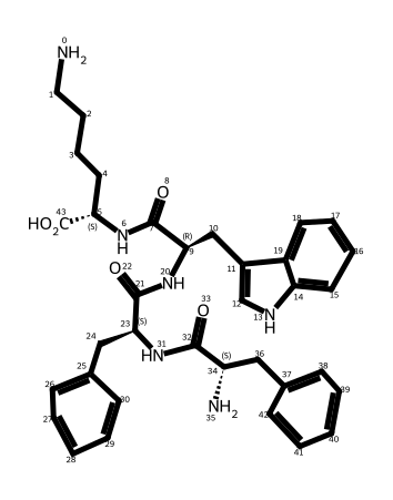 NCCCC[C@H](NC(=O)[C@@H](Cc1c[nH]c2ccccc12)NC(=O)[C@H](Cc1ccccc1)NC(=O)[C@@H](N)Cc1ccccc1)C(=O)O